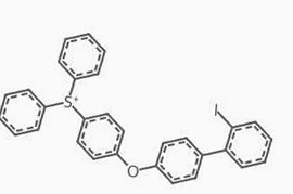 Ic1ccccc1-c1ccc(Oc2ccc([S+](c3ccccc3)c3ccccc3)cc2)cc1